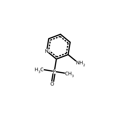 CP(C)(=O)c1ncccc1N